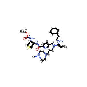 CC/C=C(\NCCc1ccccc1)N(CCCN1CCN(C)CC1)Cc1ccc(C(=O)Nc2cscc2NC(=O)OC(C)(C)C)nc1